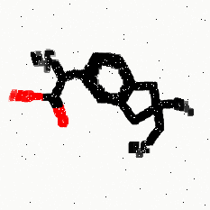 CCC1(C)Cc2ccc(C(C)C(=O)O)cc2C1